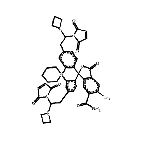 Cc1cc2c(cc1C(N)=O)C1(OC2=O)c2ccc(CC(N3CCC3)N3C(=O)C=CC3=O)cc2[Si]2(CCCCC2)c2cc(CC(N3CCC3)N3C(=O)C=CC3=O)ccc21